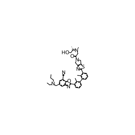 CCCN(CC)Cc1cc(C#N)c2oc(-c3cccc(-c4cccc(-c5nc6c(s5)CN(C(=O)CN(C)[C@@H](C)CO)C6)c4C)c3C)nc2c1